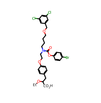 CCOC(Cc1ccc(OCCN(CCCCOCc2cc(Cl)cc(Cl)c2)C(=O)Oc2ccc(Br)cc2)cc1)C(=O)O